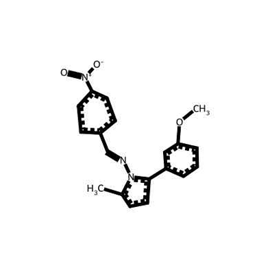 COc1cccc(-c2ccc(C)n2/N=C/c2ccc([N+](=O)[O-])cc2)c1